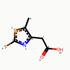 Cc1sc([S])nc1CC(=O)O